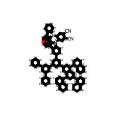 N#Cc1cc(-n2c3ccccc3c3ccccc32)c(-n2c3ccccc3c3cc(-c4cc(-c5cc(-c6ccccc6)cc(-c6ccccc6)c5)cc(-c5cc(-c6cccc7ccccc67)c6cc(-c7cccc8c7=CCCC=8)cc(-c7cccc8ccccc78)c6c5)c4)ccc32)cc1C#N